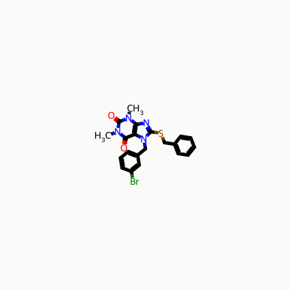 Cn1c(=O)c2c(nc(SCc3ccccc3)n2Cc2cccc(Br)c2)n(C)c1=O